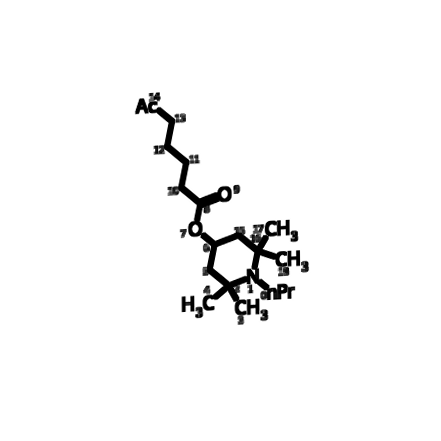 CCCN1C(C)(C)CC(OC(=O)CCCCC(C)=O)CC1(C)C